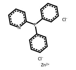 [Cl-].[Cl-].[Zn+2].c1ccc(P(c2ccccc2)c2ccccn2)cc1